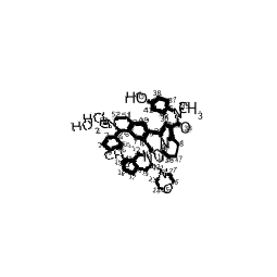 Cc1ccc(C2c3cc(C(=O)N4Cc5ccccc5C[C@H]4CN4CCOCC4)c(-c4cc(C(=O)N(C)c5ccc(O)cc5)c5n4CCCC5)cc3CCN2C(=O)O)cc1.Cl